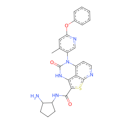 Cc1cc(Oc2ccccc2)ncc1N1C(=O)Nc2c(C(=O)NC3CCCC3N)sc3nccc1c23